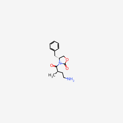 C[C@H](CCN)C(=O)N1C(=O)OC[C@H]1Cc1ccccc1